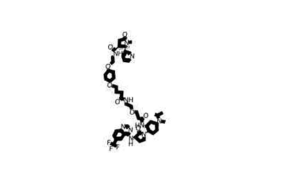 CC(C)N(C)[C@@H]1CC[C@H](N2CC[C@H](Nc3ncnc4ccc(C(F)(F)F)cc34)C2=O)[C@H](NC(=O)CCOCCNC(=O)CCCOC2CCC(OCCNC(=O)[C@H]3CC(=O)N(C)[C@@H]3c3cccnc3)CC2)C1